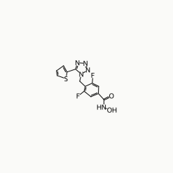 O=C(NO)c1cc(F)c(Cn2nnnc2-c2cccs2)c(F)c1